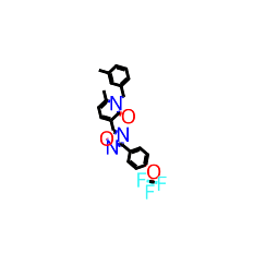 Cc1cccc(Cn2c(C)ccc(-c3nc(-c4ccc(OC(F)(F)F)cc4)no3)c2=O)c1